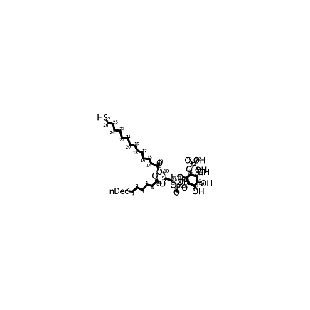 CCCCCCCCCCCCCCCC(=O)O[C@H](COC(=O)CCCCCCCCCCCCCS)COP(=O)(O)OC1C(O)[C@@H](OP(=O)(O)O)C(O)[C@@H](O)[C@H]1O